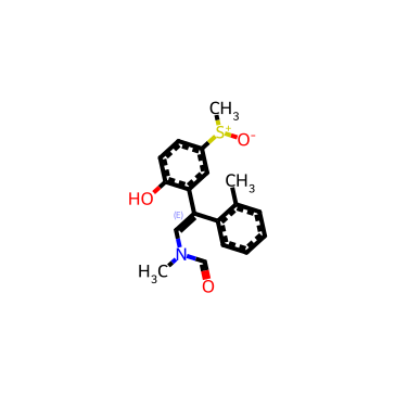 Cc1ccccc1/C(=C\N(C)C=O)c1cc([S+](C)[O-])ccc1O